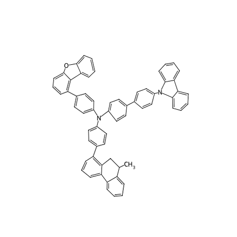 CC1Cc2c(-c3ccc(N(c4ccc(-c5ccc(-n6c7ccccc7c7ccccc76)cc5)cc4)c4ccc(-c5cccc6oc7ccccc7c56)cc4)cc3)cccc2-c2ccccc21